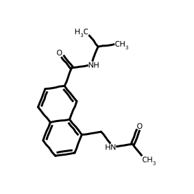 CC(=O)NCc1cccc2ccc(C(=O)NC(C)C)cc12